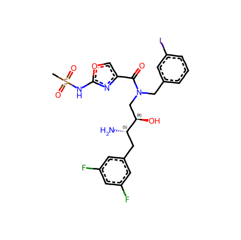 CS(=O)(=O)Nc1nc(C(=O)N(Cc2cccc(I)c2)C[C@@H](O)[C@@H](N)Cc2cc(F)cc(F)c2)co1